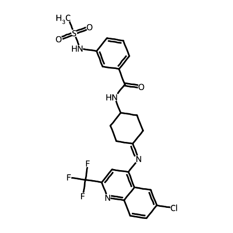 CS(=O)(=O)Nc1cccc(C(=O)NC2CCC(=Nc3cc(C(F)(F)F)nc4ccc(Cl)cc34)CC2)c1